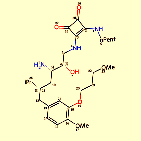 CCCCCNc1c(NC[C@H](O)[C@@H](N)C[C@H](Cc2ccc(OC)c(OCCCOC)c2)C(C)C)c(=O)c1=O